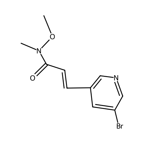 CON(C)C(=O)C=Cc1cncc(Br)c1